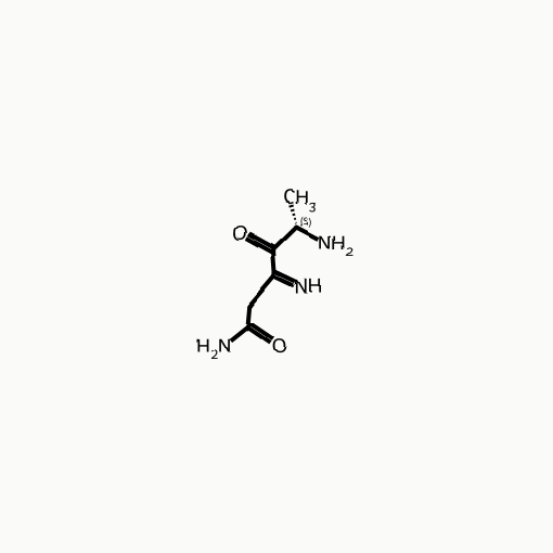 C[C@H](N)C(=O)C(=N)CC(N)=O